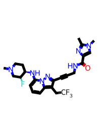 Cc1nc(C(=O)NCC#Cc2nn3c(N[C@@H]4CCN(C)C[C@@H]4F)cccc3c2CC(F)(F)F)cn1C